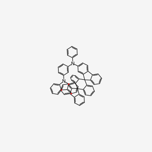 c1ccc(N(c2cccc(-n3c4ccccc4c4ccccc43)c2)c2ccc3c(c2)C2(c4ccccc4-3)c3ccccc3C3(c4ccccc4-c4ccccc43)c3ccccc32)cc1